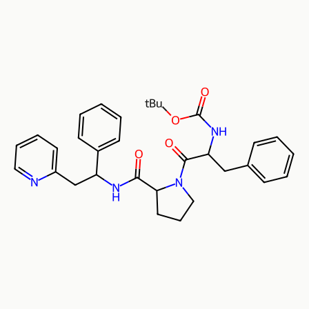 CC(C)(C)OC(=O)NC(Cc1ccccc1)C(=O)N1CCCC1C(=O)NC(Cc1ccccn1)c1ccccc1